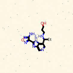 CCC(NCCCO)c1cncc2nc(-c3nonc3N)[nH]c12